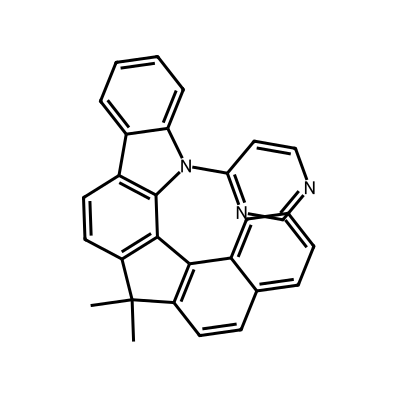 CC1(C)c2ccc3ccccc3c2-c2c1ccc1c3ccccc3n(-c3ccncn3)c21